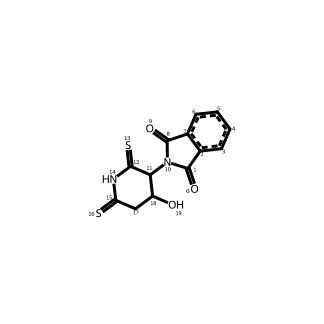 O=C1c2ccccc2C(=O)N1C1C(=S)NC(=S)CC1O